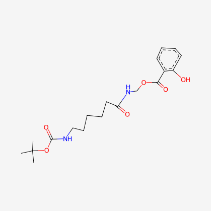 CC(C)(C)OC(=O)NCCCCCC(=O)NCOC(=O)c1ccccc1O